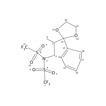 CC(CN(S(=O)(=O)C(F)(F)F)S(=O)(=O)C(F)(F)F)C1(c2ccccc2)OCCO1